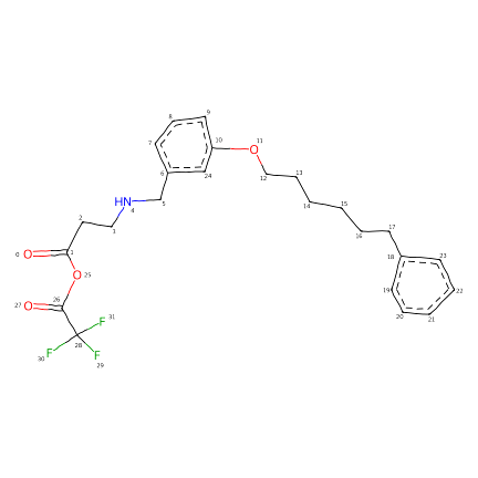 O=C(CCNCc1cccc(OCCCCCCc2ccccc2)c1)OC(=O)C(F)(F)F